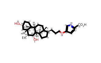 CC[C@H]1[C@@H](O)[C@@H]2[C@H](CC[C@]3(C)[C@@H](CCCOc4ccc(C(=O)O)nc4)CC[C@@H]23)[C@@]2(C)CC[C@@H](O)C[C@@H]12